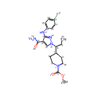 CC(C)(C)OC(=O)N1CCC(C(CC#N)n2cc(C(N)=O)c(Nc3ccc(F)cc3)n2)CC1